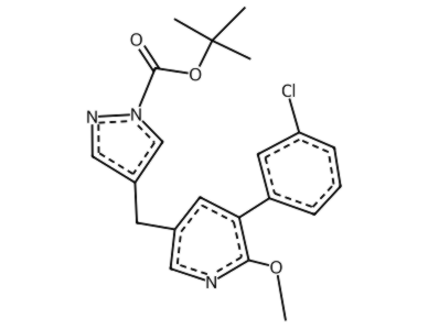 COc1ncc(Cc2cnn(C(=O)OC(C)(C)C)c2)cc1-c1cccc(Cl)c1